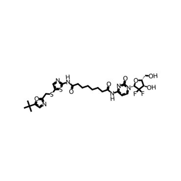 CC(C)(C)c1cnc(CSc2cnc(NC(=O)CCCCCCC(=O)Nc3ccn([C@@H]4O[C@H](CO)[C@@H](O)C4(F)F)c(=O)n3)s2)o1